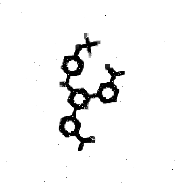 CC(=O)c1cccc(-c2cc(Nc3ccc(OC(F)(F)F)cc3)cc(-c3cccc(C(C)=O)c3)n2)c1